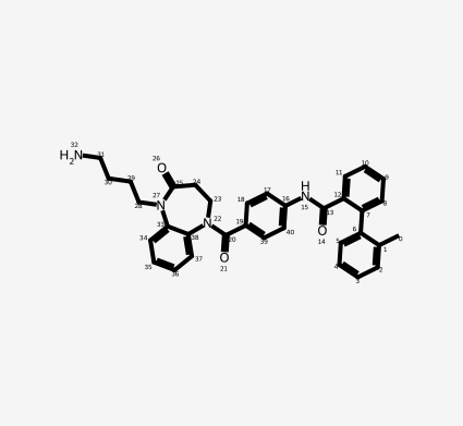 Cc1ccccc1-c1ccccc1C(=O)Nc1ccc(C(=O)N2CCC(=O)N(CCCCN)c3ccccc32)cc1